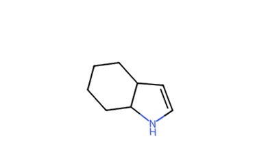 C1=CC2CCCCC2N1